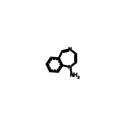 NN1C=CN=Cc2ccccc21